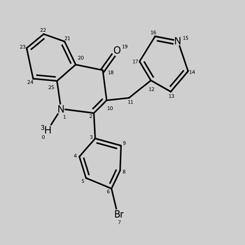 [3H]n1c(-c2ccc(Br)cc2)c(Cc2ccncc2)c(=O)c2ccccc21